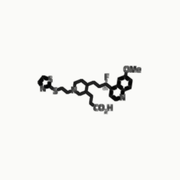 COc1ccc2nccc([C@@H](F)CCC3CCN(CCSc4nccs4)CC3CCC(=O)O)c2c1